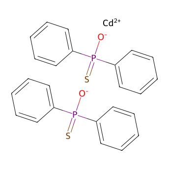 [Cd+2].[O-]P(=S)(c1ccccc1)c1ccccc1.[O-]P(=S)(c1ccccc1)c1ccccc1